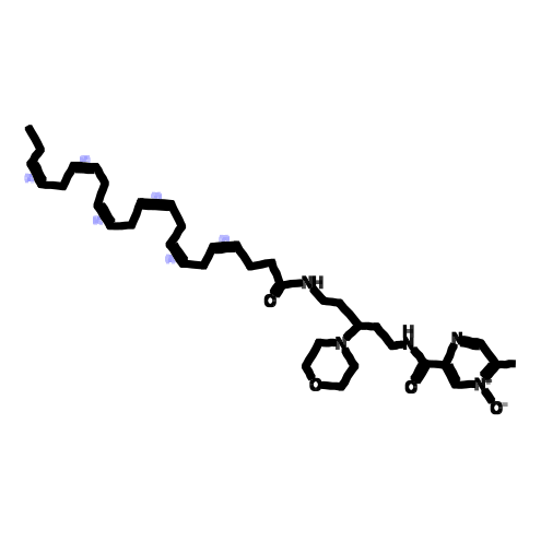 CC/C=C\C/C=C\C/C=C\C/C=C\C/C=C\C/C=C\CCC(=O)NCCC(CCNC(=O)c1c[n+]([O-])c(C)cn1)N1CCOCC1